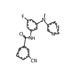 CN(c1cncnc1)c1cc(F)cc(NC(=O)c2cccc(C#N)c2)c1